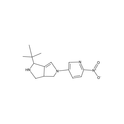 CC(C)(C)C1NCC2CN(c3ccc([N+](=O)[O-])nc3)C=C21